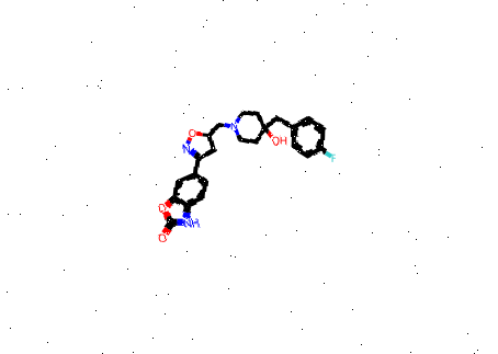 O=c1[nH]c2ccc(C3=NOC(CN4CCC(O)(Cc5ccc(F)cc5)CC4)C3)cc2o1